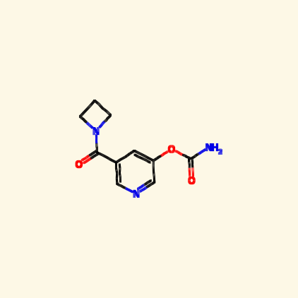 NC(=O)Oc1cncc(C(=O)N2CCC2)c1